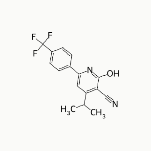 CC(C)c1cc(-c2ccc(C(F)(F)F)cc2)nc(O)c1C#N